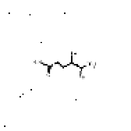 NC(=O)CCC(S)C(S)C(=O)O